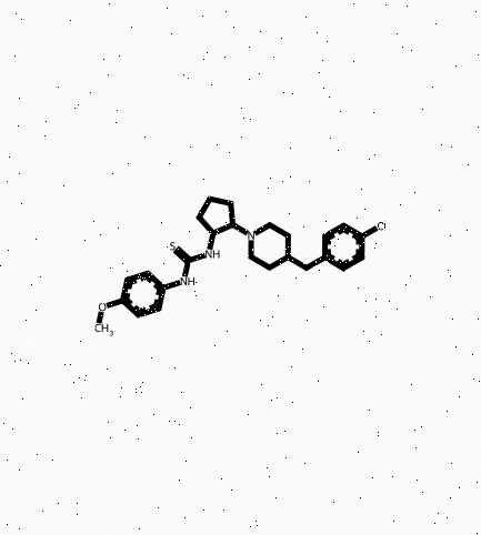 COc1ccc(NC(=S)NC2CCCC2N2CCC(Cc3ccc(Cl)cc3)CC2)cc1